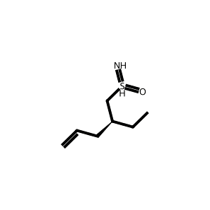 C=CC[C@H](CC)C[SH](=N)=O